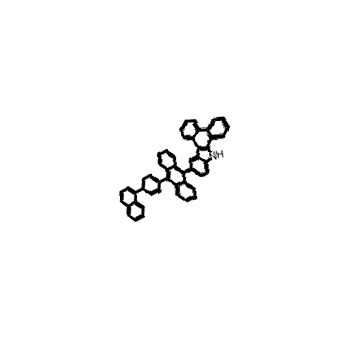 c1ccc2c(-c3ccc(-c4c5ccccc5c(-c5ccc6[nH]c7c8ccccc8c8ccccc8c7c6c5)c5ccccc45)cc3)cccc2c1